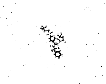 C[C@@H]1CN(c2nc(S(C)(C)CCC(C)(C)C)ccc2C(=O)NS(=O)(=O)c2ccccc2)C(C)(C)C1